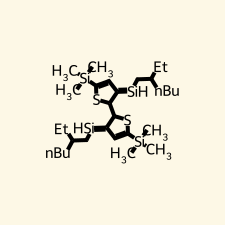 CCCCC(CC)C/[SiH]=C1\C=C([Si](C)(C)C)SC1C1SC([Si](C)(C)C)=C/C1=[SiH]\CC(CC)CCCC